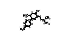 CC1CC(=O)N(CCN(C)C)N=C1c1ccc(N)cc1